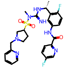 C[C@@H](NC(=N)N(C)S(=O)(=O)[C@H]1CCN(Cc2ccccn2)C1)c1cc(NC(=O)c2ccc(F)cn2)ccc1F